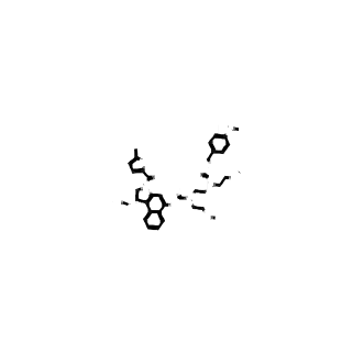 CNc1ccc(COC(=O)N(CCOC)CCN(CCOC)C(=O)Oc2cc3c(c4ccccc24)[C@H](CCl)CN3C(=O)c2ccc(C)s2)cc1